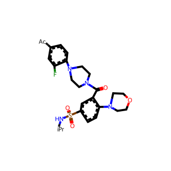 CC(=O)c1ccc(N2CCN(C(=O)c3cc(S(=O)(=O)NC(C)C)ccc3N3CCOCC3)CC2)c(F)c1